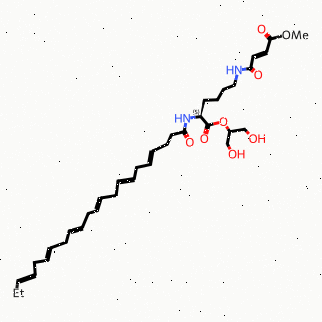 CCC=CCC=CCC=CCC=CCC=CCC=CCCC(=O)N[C@@H](CCCCNC(=O)C=CC(=O)OC)C(=O)OC(CO)CO